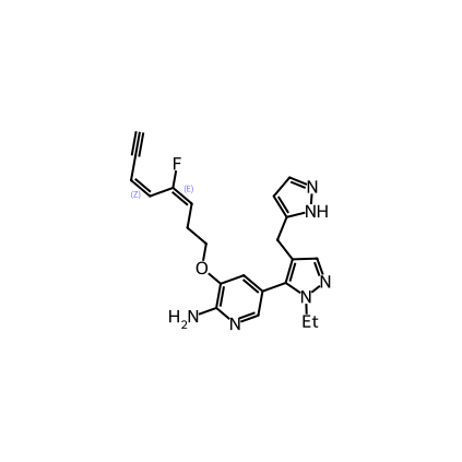 C#C/C=C\C(F)=C/CCOc1cc(-c2c(Cc3ccn[nH]3)cnn2CC)cnc1N